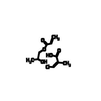 C=CC(=O)OCC(C)O.CC(=CCl)C(=O)O